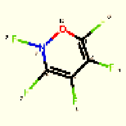 FC1=C(F)C(F)=C(F)N(F)O1